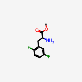 COC(=O)C(N)Cc1cc(F)ccc1F